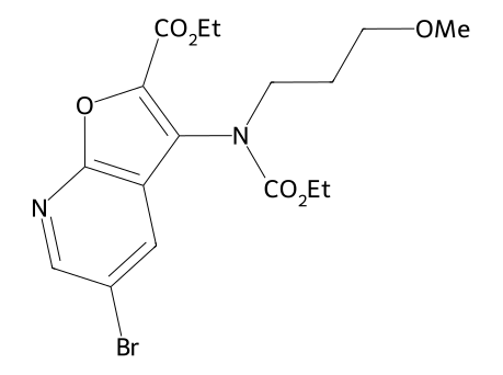 CCOC(=O)c1oc2ncc(Br)cc2c1N(CCCOC)C(=O)OCC